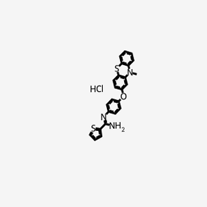 CN1c2ccccc2Sc2ccc(Oc3ccc(/N=C(\N)c4cccs4)cc3)cc21.Cl